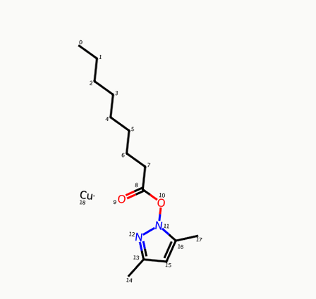 CCCCCCCCC(=O)On1nc(C)cc1C.[Cu]